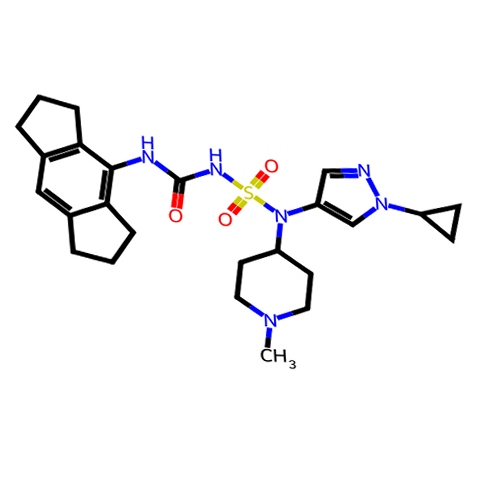 CN1CCC(N(c2cnn(C3CC3)c2)S(=O)(=O)NC(=O)Nc2c3c(cc4c2CCC4)CCC3)CC1